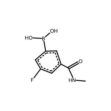 CNC(=O)c1cc(F)cc(B(O)O)c1